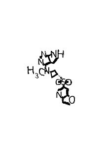 CN(c1ncnc2[nH]ccc12)[C@H]1C[C@@H](CS(=O)(=O)c2cnc3ccoc3c2)C1